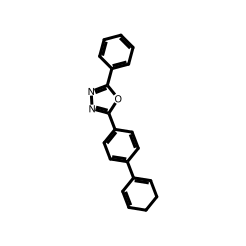 C1=CC(c2ccc(-c3nnc(-c4ccccc4)o3)cc2)=CCC1